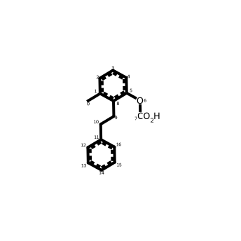 Cc1cccc(OC(=O)O)c1CCc1ccccc1